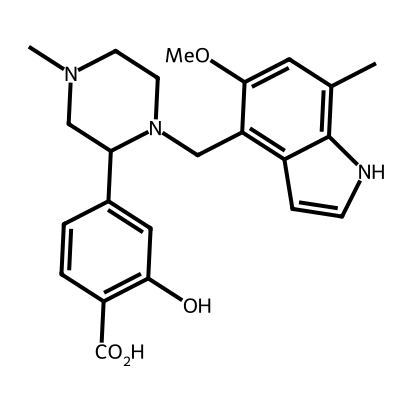 COc1cc(C)c2[nH]ccc2c1CN1CCN(C)CC1c1ccc(C(=O)O)c(O)c1